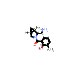 Cc1cccc(C(=O)N2C[C@H]3C[C@H]3[C@H]2CN)c1Br